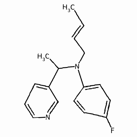 CC=CCN(c1ccc(F)cc1)C(C)c1cccnc1